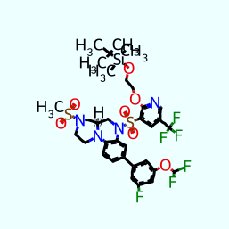 CC(C)(C)[Si](C)(C)OCCOc1ncc(C(F)(F)F)cc1S(=O)(=O)N1C[C@@H]2CN(S(C)(=O)=O)CCN2c2ccc(-c3cc(F)cc(OC(F)F)c3)cc21